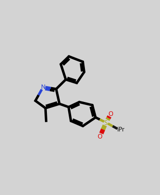 CC1=C(c2ccc(S(=O)(=O)C(C)C)cc2)C(c2ccccc2)=NC1